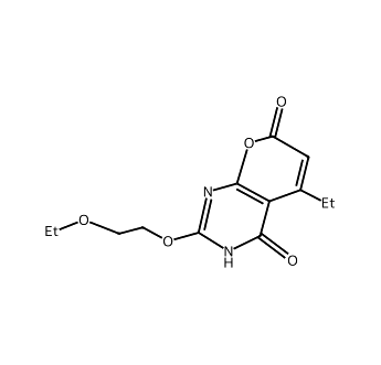 CCOCCOc1nc2oc(=O)cc(CC)c2c(=O)[nH]1